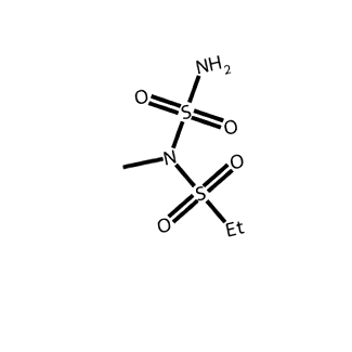 CCS(=O)(=O)N(C)S(N)(=O)=O